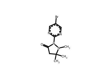 CN1N(c2ncc(Br)cn2)C(=O)CC1(C)C